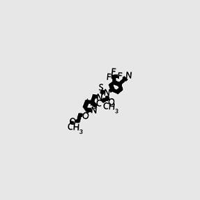 COCCOc1ccc(CN2C(=S)N(c3ccc(C#N)c(C(F)(F)F)c3)C(=O)C2(C)C)cn1